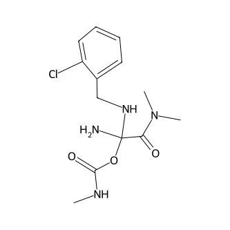 CNC(=O)OC(N)(NCc1ccccc1Cl)C(=O)N(C)C